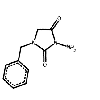 NN1C(=O)CN(Cc2ccccc2)C1=O